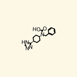 O=C(O)N(Cc1ccccc1)[C@H]1CC[C@H](c2nnc[nH]2)CC1